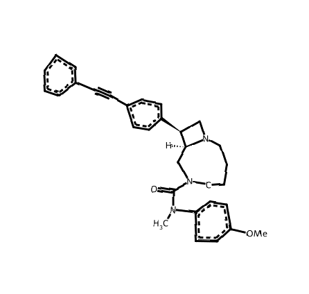 COc1ccc(N(C)C(=O)N2CCCCN3C[C@H](c4ccc(C#Cc5ccccc5)cc4)[C@@H]3C2)cc1